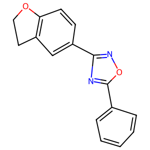 c1ccc(-c2nc(-c3ccc4c(c3)CCO4)no2)cc1